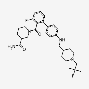 CC(C)(F)CN1CCC(CNc2ccc(-c3cccc(F)c3C(=O)N3CCCC(C(N)=O)C3)cc2)CC1